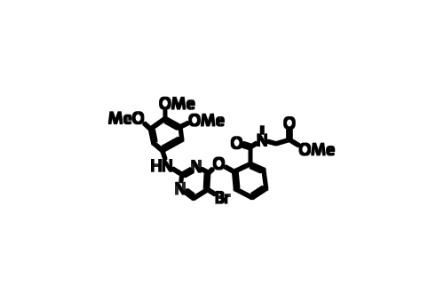 COC(=O)CN(C)C(=O)c1ccccc1Oc1nc(Nc2cc(OC)c(OC)c(OC)c2)ncc1Br